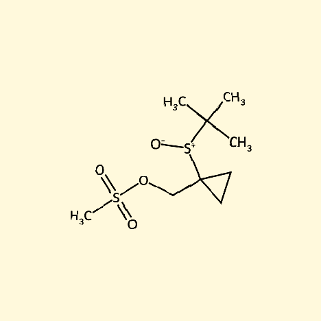 CC(C)(C)[S+]([O-])C1(COS(C)(=O)=O)CC1